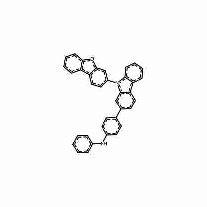 c1ccc(Nc2ccc(-c3ccc4c5ccccc5n(-c5ccc6c(c5)oc5ccccc56)c4c3)cc2)cc1